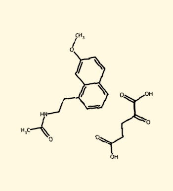 COc1ccc2cccc(CCNC(C)=O)c2c1.O=C(O)CCC(=O)C(=O)O